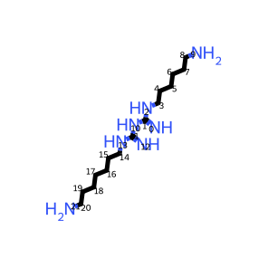 N=C(NCCCCCCN)NC(=N)NCCCCCCCN